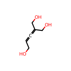 OCC=C=C(CO)CO